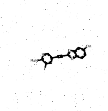 CNc1ncc(C#Cc2nc3ccc(O)cc3o2)cc1F